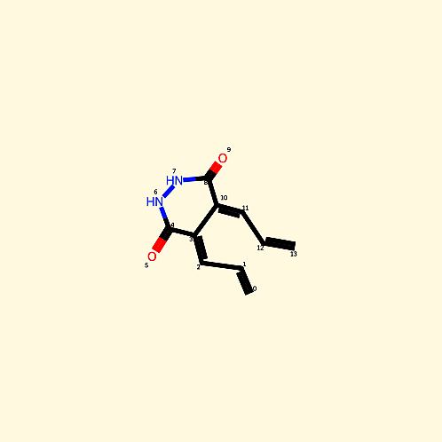 C=C/C=c1/c(=O)[nH][nH]c(=O)/c1=C/C=C